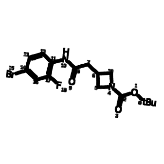 CC(C)(C)OC(=O)N1CC(CC(=O)Nc2ccc(Br)cc2F)C1